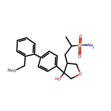 COCc1ccccc1-c1ccc(C2(O)COCC2CC(C)S(N)(=O)=O)cc1